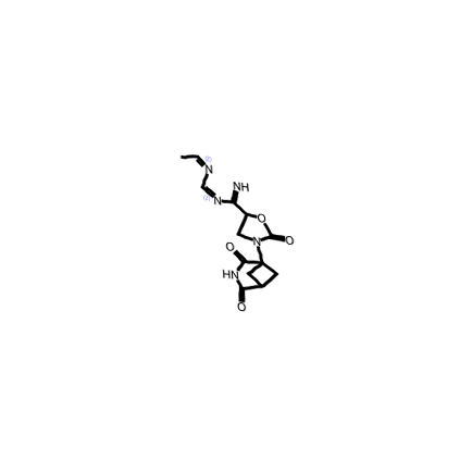 C/C=N\C=N/C(=N)C1CN(C23CC(C2)C(=O)NC3=O)C(=O)O1